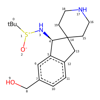 CC(C)(C)[S+]([O-])N[C@@H]1c2cc(CO)ccc2CC12CCNCC2